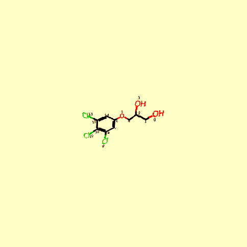 OCC(O)COc1cc(Cl)c(Cl)c(Cl)c1